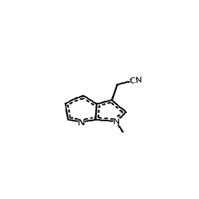 Cn1cc(CC#N)c2cccnc21